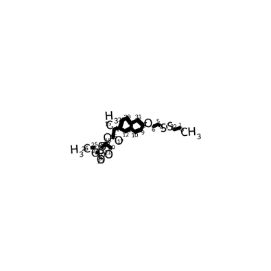 CCCSSCCOc1ccc2cc(C(C)C(=O)OC3COP(=O)(OCC)O3)ccc2c1